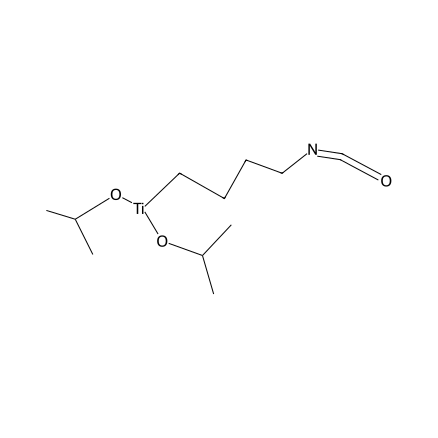 CC(C)[O][Ti]([CH2]CCCN=C=O)[O]C(C)C